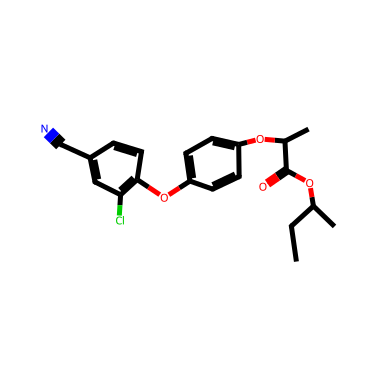 CCC(C)OC(=O)C(C)Oc1ccc(Oc2ccc(C#N)cc2Cl)cc1